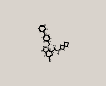 O=C(NC1CC2(CCC2)C1)c1cc(Br)cc2cnn(Cc3ccc(-c4ccccc4)cc3)c12